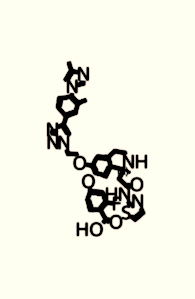 Cc1cn(-c2ccc(-c3cn(CCOc4cc5c(cc4Oc4ccc(C(=O)O)c(F)c4)[C@@](C)(CC(=O)Nc4nccs4)NCC5)nn3)cc2C)cn1